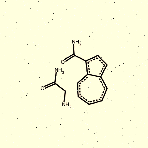 NC(=O)c1ccc2cccccc1-2.NCC(N)=O